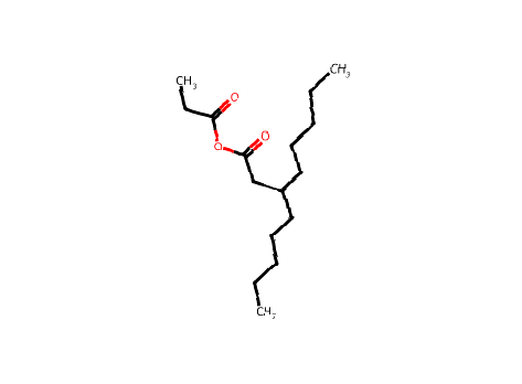 CCCCCC(CCCCC)CC(=O)OC(=O)CC